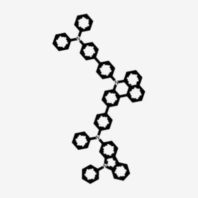 c1ccc(N(c2ccccc2)c2ccc(-c3ccc(N4c5ccc(-c6ccc(N(c7ccccc7)c7ccc8c9ccccc9n(-c9ccccc9)c8c7)cc6)cc5-c5cccc6cccc4c56)cc3)cc2)cc1